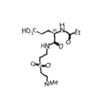 CCC(=O)N[C@H](CCC(=O)O)C(=O)NCCS(=O)(=O)CCNC